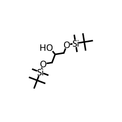 CC(C)(C)[Si](C)(C)OCC(O)CO[Si](C)(C)C(C)(C)C